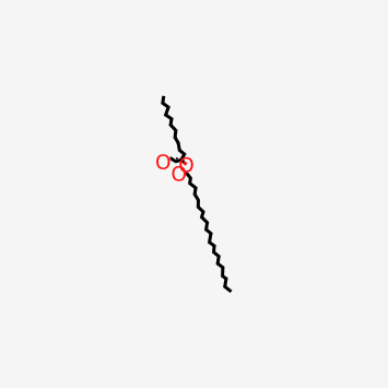 CCCCCCCCCCCCCCCCCCCCCC(=O)OC(C[C]=O)CCCCCCCCCCC